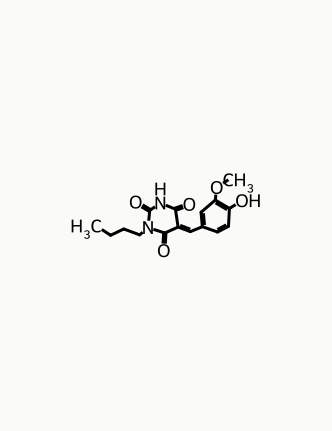 CCCCN1C(=O)NC(=O)/C(=C\c2ccc(O)c(OC)c2)C1=O